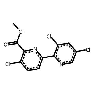 COC(=O)c1nc(-c2ncc(Cl)cc2Cl)ccc1Cl